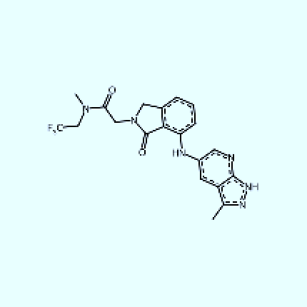 Cc1n[nH]c2ncc(Nc3cccc4c3C(=O)N(CC(=O)N(C)CC(F)(F)F)C4)cc12